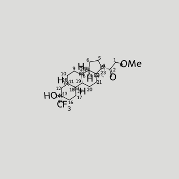 COCC(=O)[C@H]1CC[C@H]2[C@@H]3CC[C@@H]4C[C@@](O)(C(F)(F)F)CC[C@@H]4C3CC[C@]12C